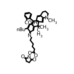 CCCCC1=CC2=C(c3ccccc3C(=O)O)c3cc4c(cc3C(C)(C)C2=C/C1=N\CCCCCC(=O)ON1C(=O)CCC1=O)N(C)CCC4